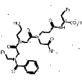 CC(C)C[C@H](NC(=O)CCN(CC(N)=O)C(=O)CN(CCO)C(=O)CN(CC(C)C)C(=O)c1ccccc1)C(=O)O